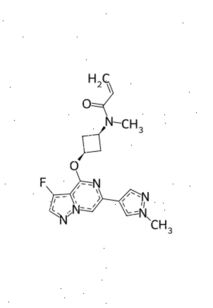 C=CC(=O)N(C)[C@H]1C[C@@H](Oc2nc(-c3cnn(C)c3)cn3ncc(F)c23)C1